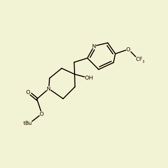 CC(C)(C)OC(=O)N1CCC(O)(Cc2ccc(OC(F)(F)F)cn2)CC1